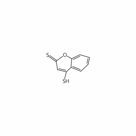 S=c1cc(S)c2ccccc2o1